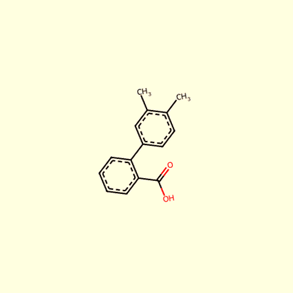 Cc1ccc(-c2ccccc2C(=O)O)cc1C